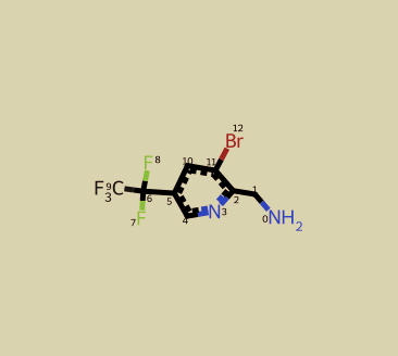 NCc1ncc(C(F)(F)C(F)(F)F)cc1Br